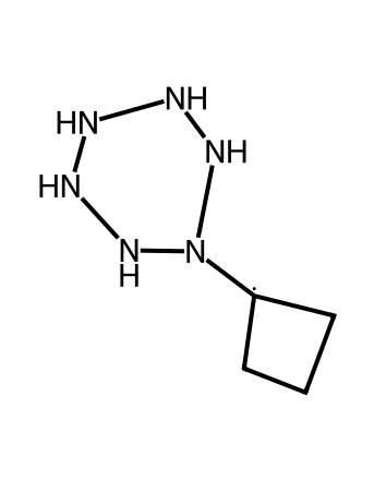 C1C[C](N2NNNNN2)C1